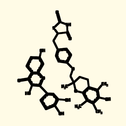 Cc1c(C)c2c(c(C)c1O)CCC(C)(COc1ccc(CC3SC(=O)NC3=O)cc1)O2.O=c1c(O)c(-c2ccc(O)c(O)c2)oc2cc(O)ccc12